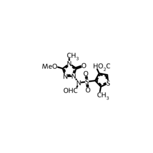 COc1nn(N(C=O)S(=O)(=O)c2c(C(=O)O)csc2C)c(=O)n1C